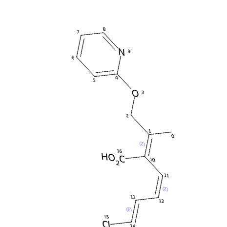 C\C(COc1ccccn1)=C(/C=C\C=C\Cl)C(=O)O